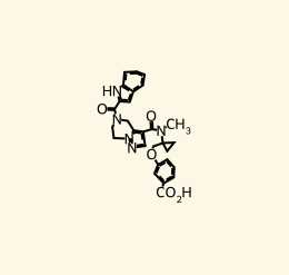 CN(C(=O)c1cnn2c1CN(C(=O)c1cc3ccccc3[nH]1)CC2)C1(COc2cccc(C(=O)O)c2)CC1